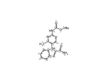 Cc1nc(NC(=O)OC(C)(C)C)ccc1[SH]1C(C(N)=O)=Cc2ccccc21